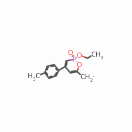 [CH2]C1=CC(c2ccc(C)cc2)=CP(=O)(OCC)O1